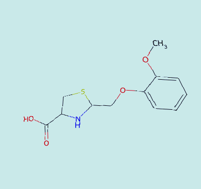 COc1ccccc1OCC1NC(C(=O)O)CS1